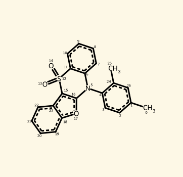 Cc1ccc(N2c3ccccc3S(=O)(=O)c3c2oc2ccccc32)c(C)c1